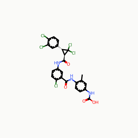 Cc1cc(NC(=O)O)ccc1NC(=O)c1cc(NC(=O)[C@H]2[C@H](c3ccc(Cl)c(Cl)c3)C2(Cl)Cl)ccc1Cl